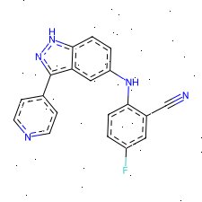 N#Cc1cc(F)ccc1Nc1ccc2[nH]nc(-c3ccncc3)c2c1